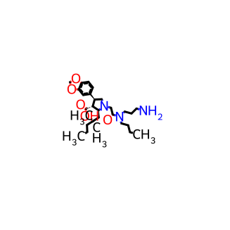 CCCCN(CCCN)C(=O)CN1C[C@H](c2ccc3c(c2)OCO3)[C@@H](C(=O)O)[C@@H]1CC(C)(C)CCC